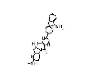 CNc1ccc2c(n1)CCN2C(=O)c1ncc(N2CCC3(CC2)Cc2ccccc2C3N)nc1N